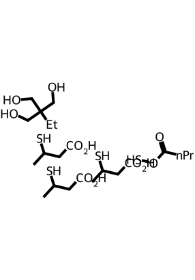 CC(S)CC(=O)O.CC(S)CC(=O)O.CC(S)CC(=O)O.CCC(CO)(CO)CO.CCCC(=O)OS